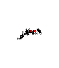 Cc1cc(N2C[C@H](CNC(=O)c3ccc(Cl)s3)OC2=O)cc(C)c1-n1cccc(OCCNC2CCC(O)CC2)c1=O